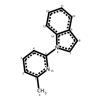 Cc1cccc(-n2ccc3c[c]ccc32)n1